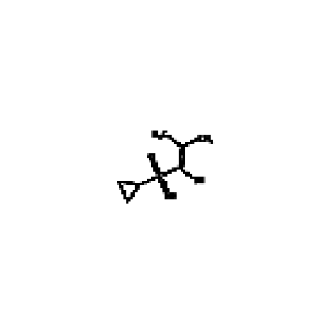 CC(C)=C(S)S(=N)(=O)C1CC1